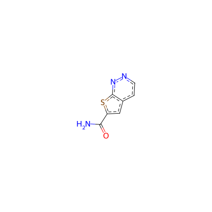 NC(=O)c1cc2ccnnc2s1